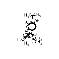 CC(C)CO[C@@H]1[C@H](C)OC(=O)[C@@H](N(C(=O)OC(C)(C)C)C(=O)OC(C)(C)C)CCC[C@@H]1O